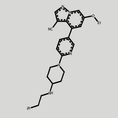 CCOc1cc(-c2ccc(N3CCC(NCCC(C)C)CC3)nc2)c2c(C#N)cnn2c1